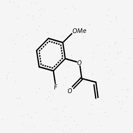 C=CC(=O)Oc1c(F)cccc1OC